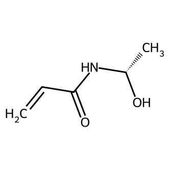 C=CC(=O)N[C@H](C)O